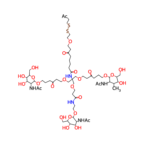 CC(=O)CCSSCCOCCC(=O)CCCCC(=O)NC(COCCC(=O)CCCOC1OC(CO)C(O)C(C)C1NC(C)=O)(COCCC(=O)CCCOC1OC(CO)C(O)C(O)C1NC(C)=O)COCCC(=O)NCCOC1OC(CO)C(O)C(O)C1NC(C)=O